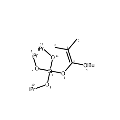 CC(C)=C(OCC(C)C)O[Si](OC(C)C)(OC(C)C)OC(C)C